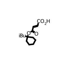 CCC(C)C1(OC(=O)/C=C/C(=O)O)CCCCC1